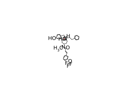 CN(C(=O)/C=C/c1cccc(OC(F)(F)F)c1)C1CC[C@@]2(O)[C@H]3Cc4ccc(O)cc4[C@@]2(CCN3CCc2ccccc2)C1